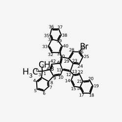 CC1(C)c2ccccc2-c2cc3c(-c4ccc5ccccc5c4)c4ccc(Br)cc4c(-c4ccc5ccccc5c4)c3cc21